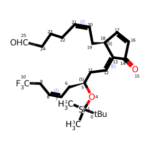 CC(C)(C)[Si](C)(C)O[C@@H](C/C=C\CC(F)(F)F)C/C=C1/C(=O)C=C[C@@H]1C/C=C\CCCC=O